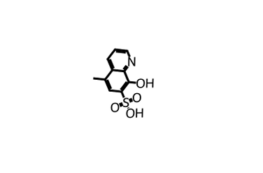 Cc1cc(S(=O)(=O)O)c(O)c2ncccc12